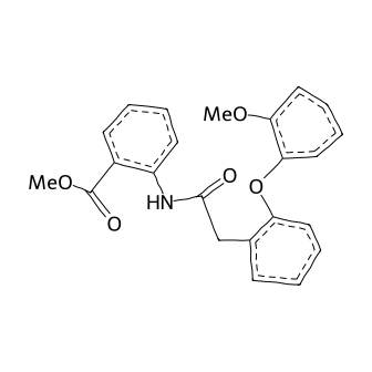 COC(=O)c1ccccc1NC(=O)Cc1ccccc1Oc1ccccc1OC